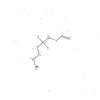 C=CCOC(C)(C)CCOC(C)C